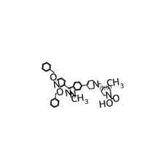 C[C@@H]1CN(C(=O)O)CC[C@@H]1CN1CC=C(c2ccc3c(-c4ccc(OCc5ccccc5)nc4OCc4ccccc4)nn(C)c3c2)CC1